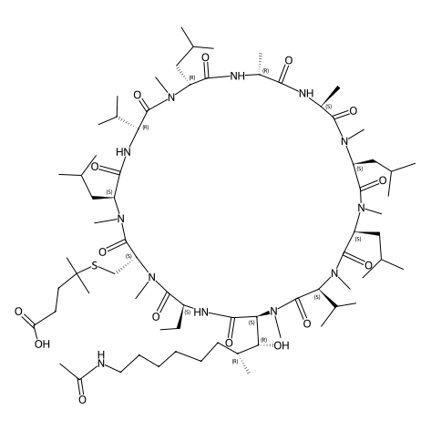 CC[C@@H]1NC(=O)[C@H]([C@H](O)[C@H](C)CCCCCCNC(C)=O)N(C)C(=O)[C@H](C(C)C)N(C)C(=O)[C@H](CC(C)C)N(C)C(=O)[C@H](CC(C)C)N(C)C(=O)[C@H](C)NC(=O)[C@@H](C)NC(=O)[C@@H](CC(C)C)N(C)C(=O)[C@@H](C(C)C)NC(=O)[C@H](CC(C)C)N(C)C(=O)[C@@H](CSC(C)(C)CCC(=O)O)N(C)C1=O